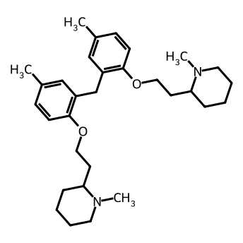 Cc1ccc(OCCC2CCCCN2C)c(Cc2cc(C)ccc2OCCC2CCCCN2C)c1